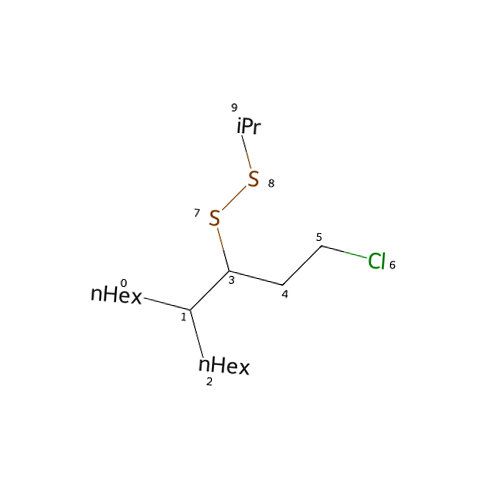 CCCCCCC(CCCCCC)C(CCCl)SSC(C)C